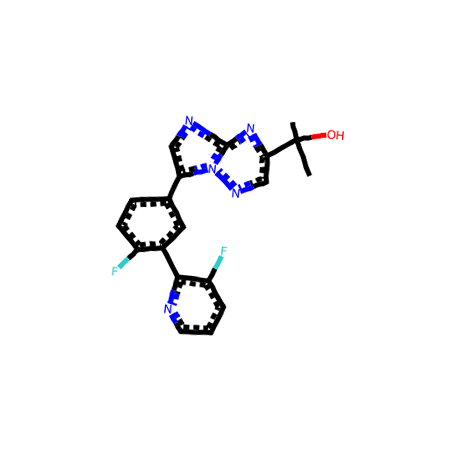 CC(C)(O)c1cnn2c(-c3ccc(F)c(-c4ncccc4F)c3)cnc2n1